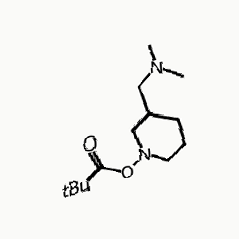 CN(C)CC1CCCN(OC(=O)C(C)(C)C)C1